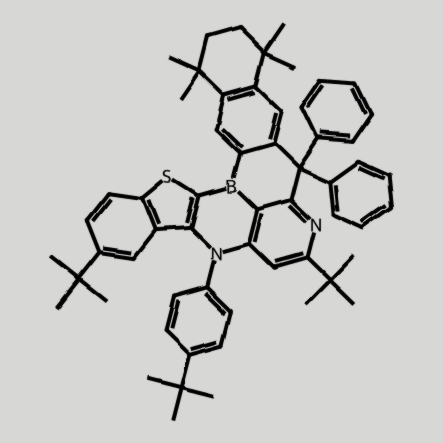 CC(C)(C)c1ccc(N2c3cc(C(C)(C)C)nc4c3B(c3cc5c(cc3C4(c3ccccc3)c3ccccc3)C(C)(C)CCC5(C)C)c3sc4ccc(C(C)(C)C)cc4c32)cc1